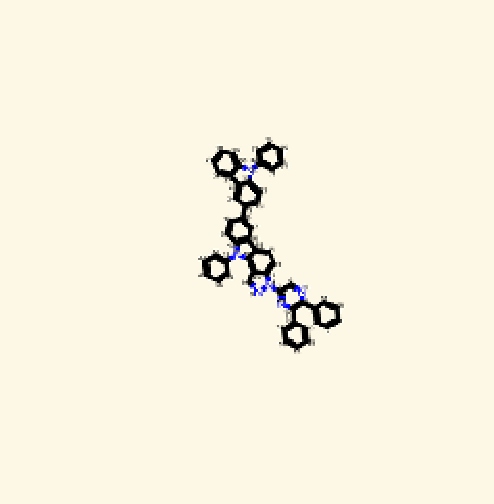 c1ccc(-c2ncc(-n3ncc4c3ccc3c5cc(-c6ccc7c(c6)c6ccccc6n7-c6ccccc6)ccc5n(-c5ccccc5)c34)nc2-c2ccccc2)cc1